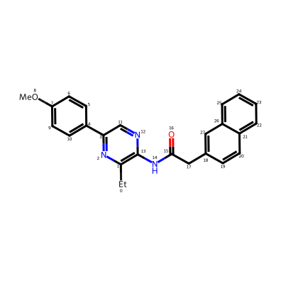 CCc1nc(-c2ccc(OC)cc2)cnc1NC(=O)Cc1ccc2ccccc2c1